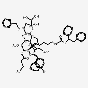 CC(=O)CCC(=O)O[C@@H]1[C@H](OC(C)=O)[C@@H](O[C@H]2[C@@H]([C@H]3COC(C)(C)O3)O[C@@](O)(C(O)O)C[C@H]2OCc2ccccc2)O[C@](CCCCCNC(=O)OC(Cc2ccccc2)c2ccccc2)([C@@H](COC(C)=O)OCc2ccccc2)[C@H]1OCc1ccc(Br)cc1